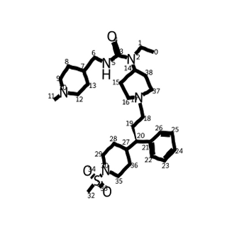 CCN(C(=O)NCC1CCN(C)CC1)C1CCN(CC[C@@H](c2ccccc2)C2CCN(S(C)(=O)=O)CC2)CC1